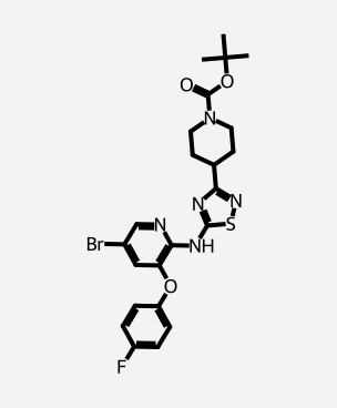 CC(C)(C)OC(=O)N1CCC(c2nsc(Nc3ncc(Br)cc3Oc3ccc(F)cc3)n2)CC1